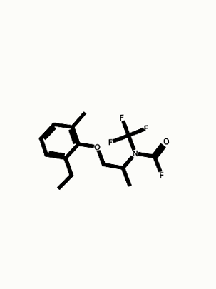 CCc1cccc(C)c1OCC(C)N(C(=O)F)C(F)(F)F